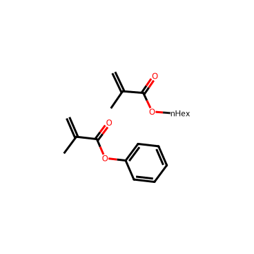 C=C(C)C(=O)OCCCCCC.C=C(C)C(=O)Oc1ccccc1